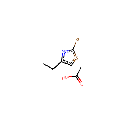 CC(=O)O.CCc1csc(S)n1